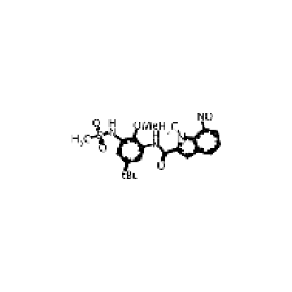 COc1c(NC(=O)c2cc3cccc(N=O)c3n2C)cc(C(C)(C)C)cc1NS(C)(=O)=O